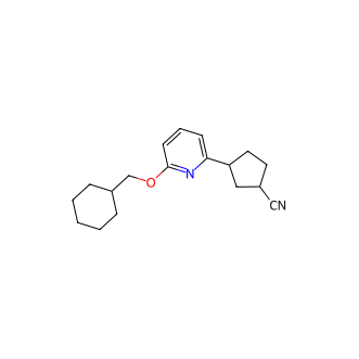 N#CC1CCC(c2cccc(OCC3CCCCC3)n2)C1